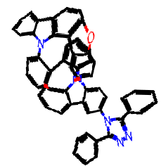 c1ccc(-c2nnc(-c3ccccc3)n2-c2ccc3c(c2)c2ccccc2n3-c2ccccc2-c2ccccc2-n2c3ccccc3c3ccc4oc5ccccc5c4c32)cc1